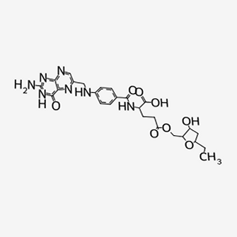 CCC1CC(O)C(COC(=O)CCC(NC(=O)c2ccc(NCc3cnc4nc(N)[nH]c(=O)c4n3)cc2)C(=O)O)O1